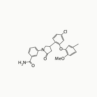 COc1ccc(C)cc1Oc1cc(Cl)ccc1C1CC(=O)N(c2cccc(C(N)=O)c2)C1